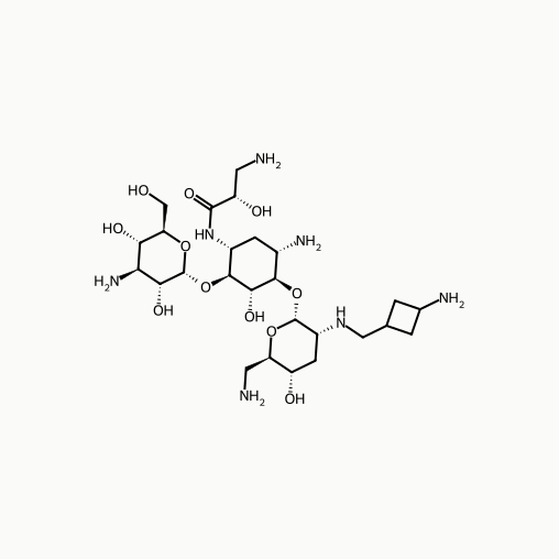 NC[C@H](O)C(=O)N[C@@H]1C[C@H](N)[C@@H](O[C@H]2O[C@H](CN)[C@@H](O)C[C@H]2NCC2CC(N)C2)[C@H](O)[C@H]1O[C@H]1O[C@H](CO)[C@@H](O)[C@H](N)[C@H]1O